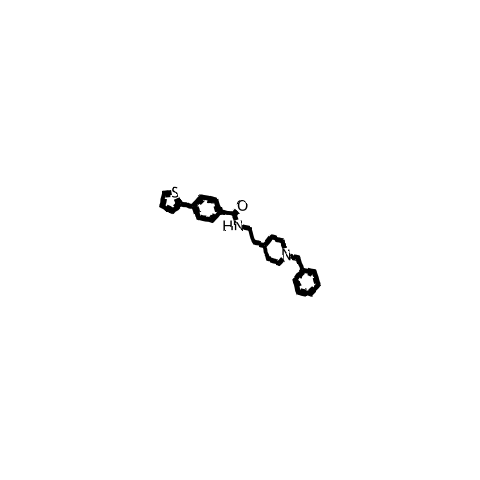 O=C(NCCC1CCN(Cc2ccccc2)CC1)c1ccc(-c2cccs2)cc1